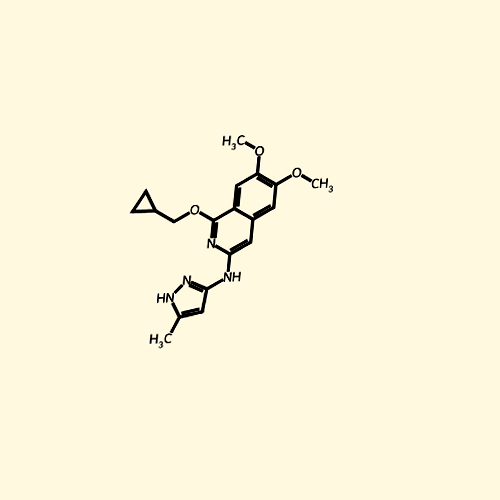 COc1cc2cc(Nc3cc(C)[nH]n3)nc(OCC3CC3)c2cc1OC